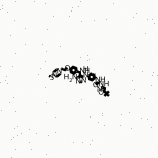 CSN1CCN(CCOc2ccc(C(=N)c3c(N)ncnc3Nc3ccc(NC(=O)Nc4cc(C(C)(C)C)on4)cc3)cc2)CC1